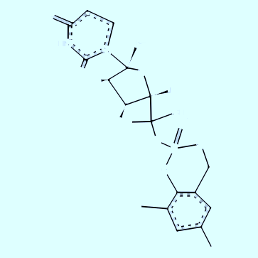 BC(B)(OP1(=O)OCc2cc(C)cc(C)c2O1)[C@@]1(F)O[C@@](B)(n2ccc(=O)[nH]c2=O)[C@H](O)[C@@H]1O